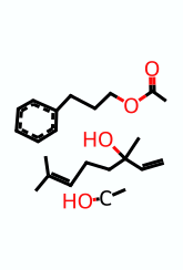 C=CC(C)(O)CCC=C(C)C.CC(=O)OCCCc1ccccc1.CCO